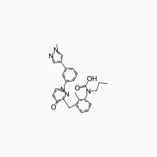 CCCN(C(=O)O)c1cccc(Cc2nn(-c3cccc(-c4cnn(C)c4)c3)ccc2=O)c1C